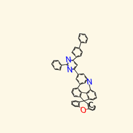 N#Cc1cccc2c1-c1c(-c3cccc(-c4cc(-c5ccc(-c6ccccc6)cc5)nc(-c5ccccc5)n4)c3)cccc1C21c2ccccc2Oc2ccccc21